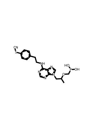 CC(Cn1cnc2c(NCCc3ccc(SC#N)cc3)ncnc21)OCP(O)O